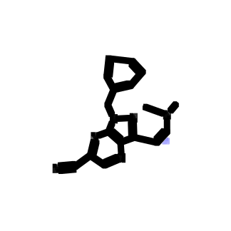 CN(C)/C=C\c1nn(Cc2ccccc2)c2nc(C#N)cnc12